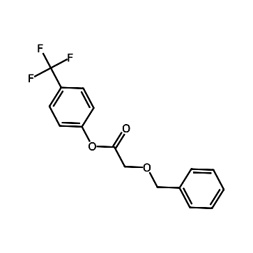 O=C(COCc1ccccc1)Oc1ccc(C(F)(F)F)cc1